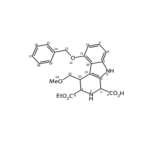 CCOC(=O)C1NC(C(=O)O)c2[nH]c3cccc(OCc4ccccc4)c3c2C1COC